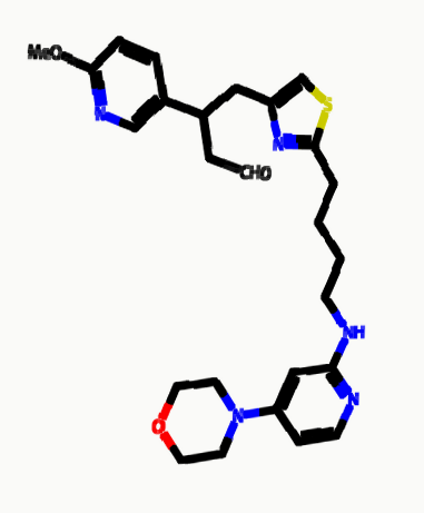 COc1ccc(C(CC=O)Cc2csc(CCCCNc3cc(N4CCOCC4)ccn3)n2)cn1